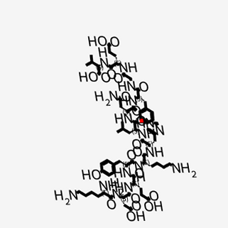 CC(C)C[C@H](NC(=O)[C@H](Cc1c[nH]cn1)NC(=O)[C@H](CCCCN)NC(=O)[C@H](Cc1ccc(O)cc1)NC(=O)[C@H](CCC(=O)O)NC(=O)[C@H](CC(=O)O)NC(=O)[C@@H](N)CCCCN)C(=O)N[C@@H](CC(N)=O)C(=O)N[C@@H](Cc1ccccc1)C(=O)NCC(=O)N[C@@H](CCC(=O)O)C(=O)N[C@H](C(=O)O)C(C)C